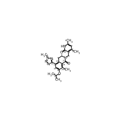 Cc1cc(C)c(CN2CCc3c(-c4nnn(C)n4)cc(OC(C)C)c(C)c3C2=O)c(=O)[nH]1